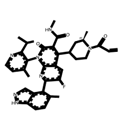 C=CC(=O)N1CCC(c2c(C(=O)NC)c(=O)n(-c3c(C)ccnc3C(C)C)c3nc(-c4c(C)ccc5[nH]ncc45)c(F)cc23)C[C@H]1C